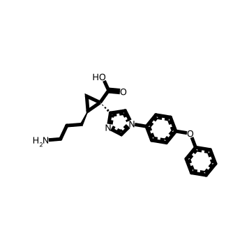 NCCC[C@H]1C[C@]1(C(=O)O)c1cn(-c2ccc(Oc3ccccc3)cc2)cn1